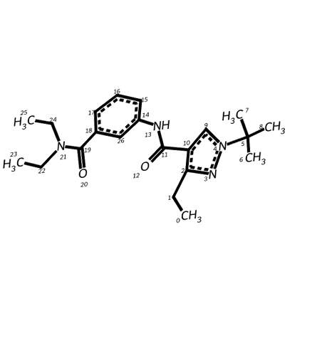 CCc1nn(C(C)(C)C)cc1C(=O)Nc1cccc(C(=O)N(CC)CC)c1